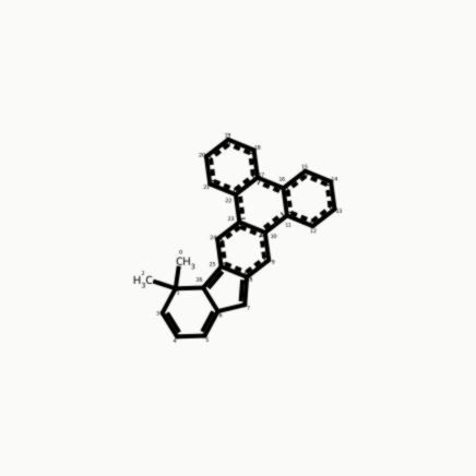 CC1(C)C=CC=C2C=c3cc4c5ccccc5c5ccccc5c4cc3=C21